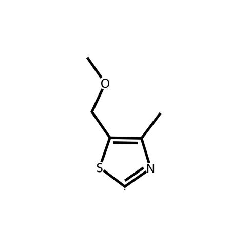 COCc1s[c]nc1C